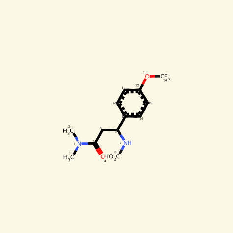 CN(C)C(=O)CC(NC(=O)O)c1ccc(OC(F)(F)F)cc1